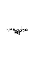 NOCc1cc(-c2cnc(Nc3ccc(NC(=O)Cc4ccccc4)nc3)c3ncnn23)cs1